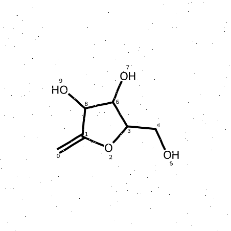 C=C1OC(CO)C(O)C1O